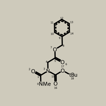 CNC(=O)N(CC(=O)OCc1ccccc1)C(=O)OC(C)(C)C